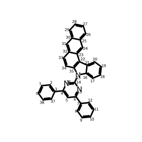 c1ccc(-c2cc(-c3ccccc3)nc(-n3c4ccccc4c4c5cc6ccccc6cc5ccc43)n2)cc1